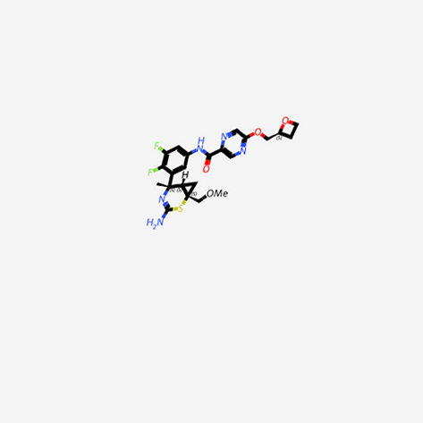 COC[C@]12C[C@H]1[C@@](C)(c1cc(NC(=O)c3cnc(OC[C@@H]4CCO4)cn3)cc(F)c1F)N=C(N)S2